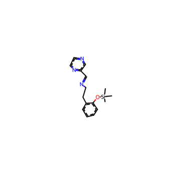 C[Si](C)(C)Oc1ccccc1CCN=Cc1cnccn1